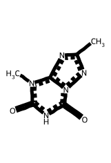 Cc1nc2n(C)c(=O)[nH]c(=O)n2n1